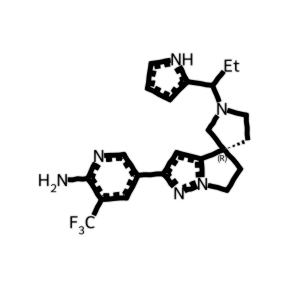 CCC(c1ccc[nH]1)N1CC[C@@]2(CCn3nc(-c4cnc(N)c(C(F)(F)F)c4)cc32)C1